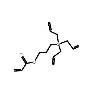 C=CC[Si](CC=C)(CC=C)CCCOC(=O)C=C